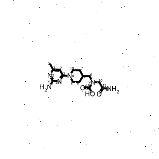 Cc1cc(N2CCC(CN(CC(N)=O)C(=O)O)CC2)nc(N)n1